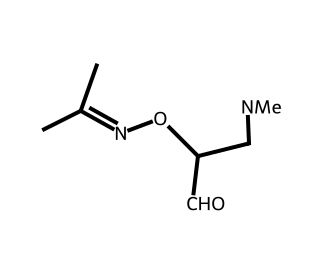 CNCC(C=O)ON=C(C)C